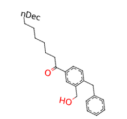 CCCCCCCCCCCCCCCCC(=O)c1ccc(Cc2ccccc2)c(CO)c1